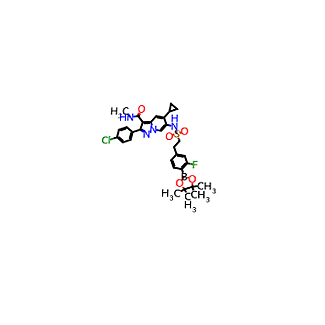 CNC(=O)c1c(-c2ccc(Cl)cc2)nn2cc(NS(=O)(=O)CCc3ccc(B4OC(C)(C)C(C)(C)O4)c(F)c3)c(C3CC3)cc12